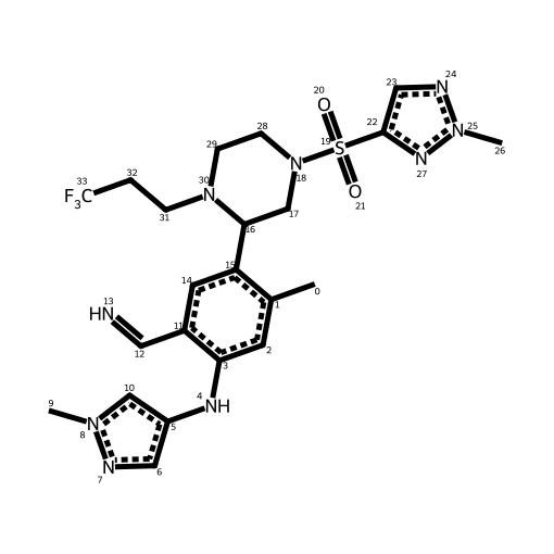 Cc1cc(Nc2cnn(C)c2)c(C=N)cc1C1CN(S(=O)(=O)c2cnn(C)n2)CCN1CCC(F)(F)F